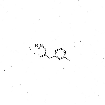 C=C(CN)Cc1cccc(C)c1